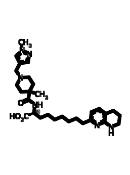 Cn1cc(CN2CCC(C)(C(=O)N[C@@H](CCCCCCCc3ccc4c(n3)NCCC4)C(=O)O)CC2)cn1